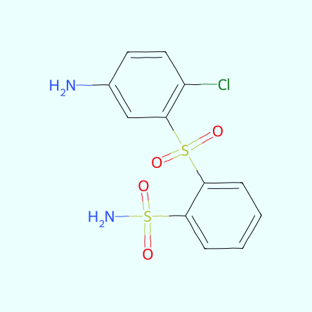 Nc1ccc(Cl)c(S(=O)(=O)c2ccccc2S(N)(=O)=O)c1